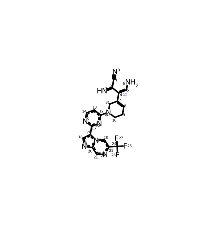 N#CC(=N)/C(=C\N)C1=CCCN(c2ccnc(-c3cnc4cnc(C(F)(F)F)cn34)n2)C1